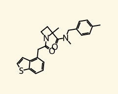 Cc1ccc(CN(C)C(=O)C2(C)CCN2C(=O)Cc2cccc3sccc23)cc1